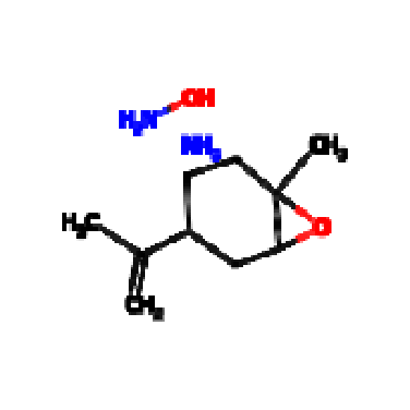 C=C(C)C1CCC2(C)OC2C1.N.NO